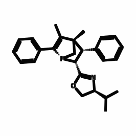 CC1=C(c2ccccc2)[P@]2C[C@@]1(C)[C@H](c1ccccc1)[C@@H]2C1=N[C@@H](C(C)C)CO1